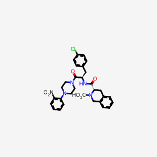 O=C(N[C@H](Cc1ccc(Cl)cc1)C(=O)N1CCN(c2ccccc2[N+](=O)[O-])CC1)[C@@H]1Cc2ccccc2CN1C(=O)O